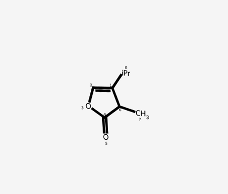 CC(C)C1=COC(=O)C1C